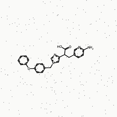 Nc1ccc(CC(C(=O)O)c2cn(Cc3ccc(Oc4ccccc4)cc3)cn2)cn1